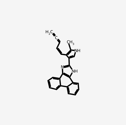 C=C=C/C=C\c1c(-c2nc3c4ccccc4c4ccccc4c3[nH]2)c[nH]c1C